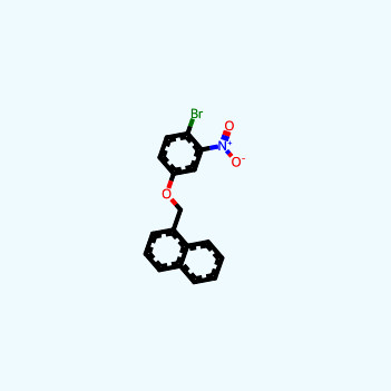 O=[N+]([O-])c1cc(OCc2cccc3ccccc23)ccc1Br